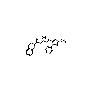 Cc1cc(OCC(O)CNC2CCc3ccccc3C2)n(-c2ccccc2)n1